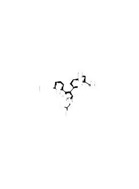 NC(=O)c1cnc2ccc(-c3cn(CC(F)F)nc3-c3cccc(C(F)(F)F)n3)cn12